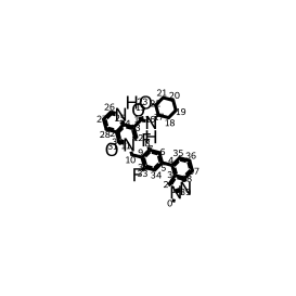 Cn1cc2c(-c3cc(F)c(Cn4cc(C(=O)N[C@H]5CCCC[C@@H]5O)c5ncccc5c4=O)c(F)c3)cccc2n1